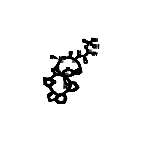 CC(C)[C@H](OP(=O)(O)O)C(=O)N[C@H]1Cc2ccc3c(c2)[C@]24c5cccc(c5NC2O3)-c2cccc3c2C(=CC3)c2cnc(o2)-c2nc(oc24)[C@H](C(C)C)NC1=O